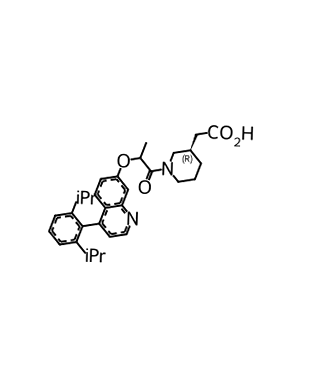 CC(Oc1ccc2c(-c3c(C(C)C)cccc3C(C)C)ccnc2c1)C(=O)N1CCC[C@H](CC(=O)O)C1